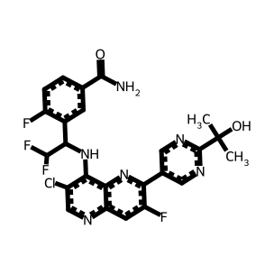 CC(C)(O)c1ncc(-c2nc3c(NC(c4cc(C(N)=O)ccc4F)C(F)F)c(Cl)cnc3cc2F)cn1